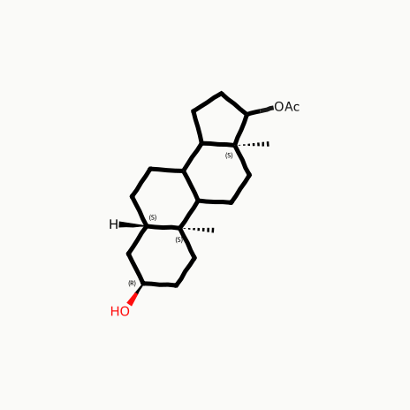 CC(=O)OC1CCC2C3CC[C@H]4C[C@H](O)CC[C@]4(C)C3CC[C@]12C